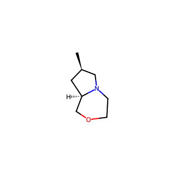 C[C@@H]1C[C@@H]2COCCN2C1